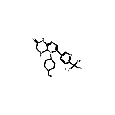 CC(C)(O)c1ccc(C2=CN=C3NC(=O)CNC3N2C2CCC(O)CC2)cn1